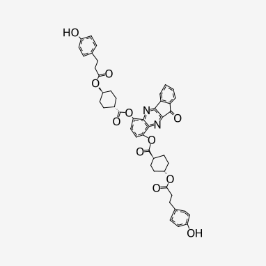 O=C(CCc1ccc(O)cc1)O[C@H]1CC[C@H](C(=O)Oc2ccc(OC(=O)[C@H]3CC[C@H](OC(=O)CCc4ccc(O)cc4)CC3)c3nc4c(nc23)C(=O)c2ccccc2-4)CC1